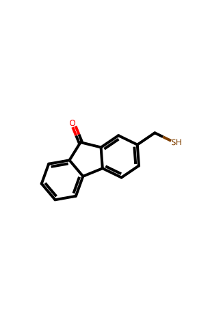 O=C1c2ccccc2-c2ccc(CS)cc21